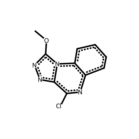 COc1nnc2c(Cl)nc3ccccc3n12